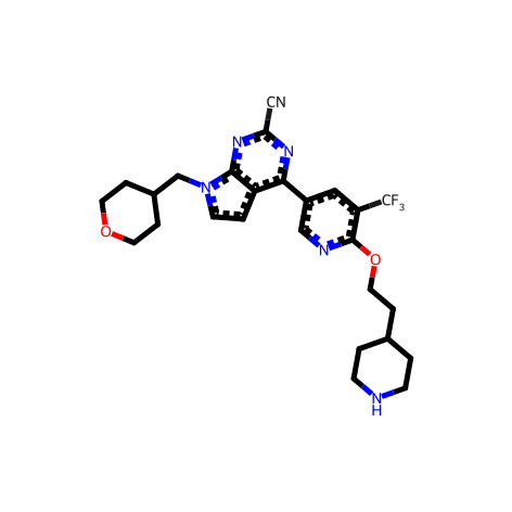 N#Cc1nc(-c2cnc(OCCC3CCNCC3)c(C(F)(F)F)c2)c2ccn(CC3CCOCC3)c2n1